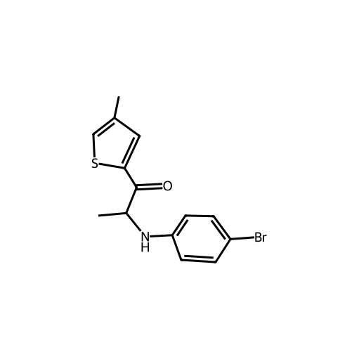 Cc1csc(C(=O)C(C)Nc2ccc(Br)cc2)c1